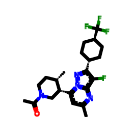 CC(=O)N1CC[C@H](C)[C@H](c2cc(C)nc3c(F)c([C@H]4CC[C@H](C(F)(F)F)CC4)nn23)C1